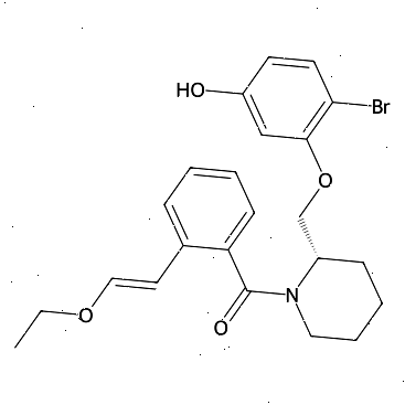 CCO/C=C/c1ccccc1C(=O)N1CCCC[C@H]1COc1cc(O)ccc1Br